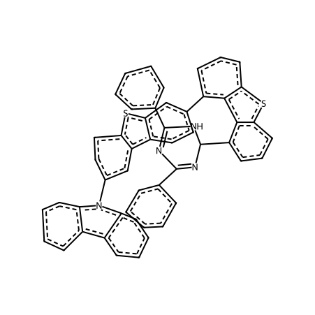 c1ccc(C2=NC(c3cccc4sc5cccc(-c6ccc7c(c6)sc6ccc(-n8c9ccccc9c9ccccc98)cc67)c5c34)NC(c3ccccc3)=N2)cc1